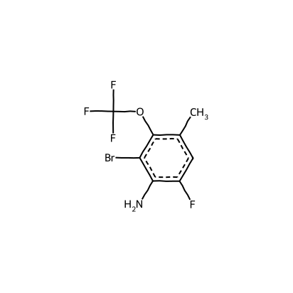 Cc1cc(F)c(N)c(Br)c1OC(F)(F)F